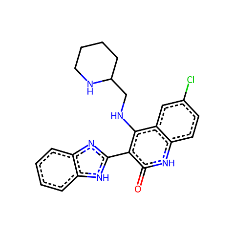 O=c1[nH]c2ccc(Cl)cc2c(NCC2CCCCN2)c1-c1nc2ccccc2[nH]1